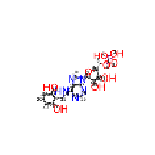 O=P(O)(O)OC[C@H]1O[C@@H](n2cnc3c(NCc4c(O)cccc4O)ncnc32)[C@H](O)[C@@H]1O